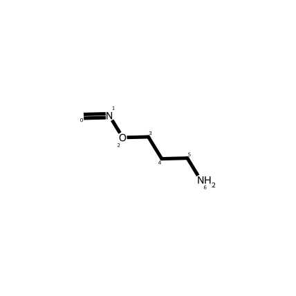 C=NOCCCN